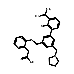 CC(N)c1cccc(-c2cc(COc3ccccc3CC(=O)O)cc(CN3CCCC3)c2)c1F